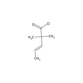 CC=CC(C)(C)C(=O)Cl